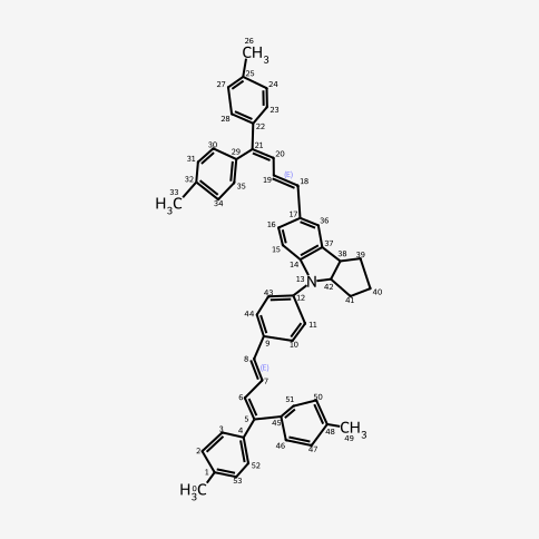 Cc1ccc(C(=C/C=C/c2ccc(N3c4ccc(/C=C/C=C(c5ccc(C)cc5)c5ccc(C)cc5)cc4C4CCCC43)cc2)c2ccc(C)cc2)cc1